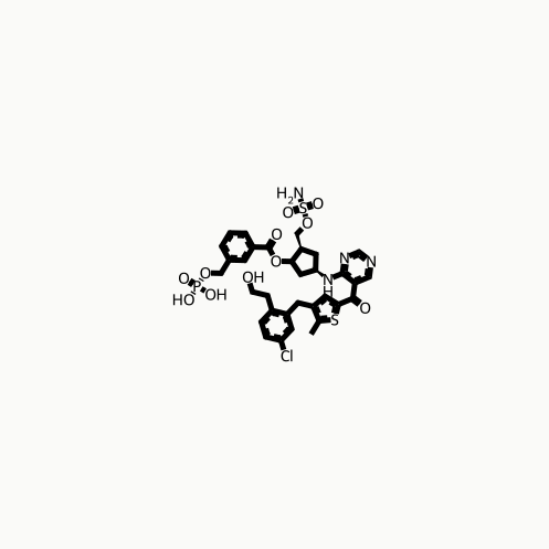 Cc1sc(C(=O)c2cncnc2N[C@H]2CC(OC(=O)c3cccc(COP(=O)(O)O)c3)[C@@H](COS(N)(=O)=O)C2)cc1Cc1cc(Cl)ccc1CCO